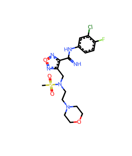 CS(=O)(=O)N(CCN1CCOCC1)Cc1nonc1C(=N)Nc1ccc(F)c(Cl)c1